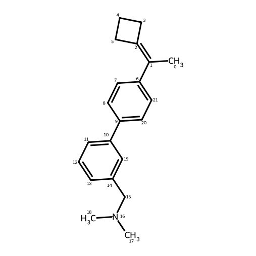 CC(=C1CCC1)c1ccc(-c2cccc(CN(C)C)c2)cc1